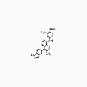 COc1ccc(Nc2ncnc3c(-c4cnc5[nH]ncc5c4)c(C)ccc23)cc1C(F)(F)F